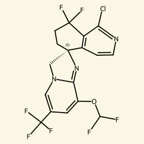 FC(F)OC1=CC(C(F)(F)F)=CN2C[C@@]3(CCC(F)(F)c4c3ccnc4Cl)N=C12